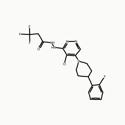 O=C(CC(F)(F)F)NNc1nncc(N2CCC(c3ccccc3F)CC2)c1Cl